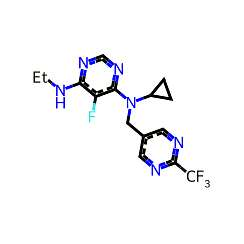 CCNc1ncnc(N(Cc2cnc(C(F)(F)F)nc2)C2CC2)c1F